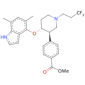 COC(=O)c1ccc([C@@H]2CN(CCC(F)(F)F)CC[C@H]2Oc2c(C)cc(C)c3[nH]ccc23)cc1